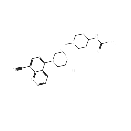 CC(=O)NC1CCN(C[C@H]2CN(c3ccc(C#N)c4ncccc34)C[C@@H](C)O2)CC1